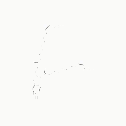 CCCCCCCC/C=C\CCCCCCCC(=O)OCC(Cc1cn(C)cn1)OC(=O)CCCCCCC/C=C\CCCCCCCC